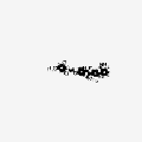 Cc1cc(Cl)c(OCCOc2ccc(CC(CN)c3ccc(-c4ccccc4CN)cc3C)cc2)c(Cl)c1